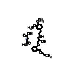 C=CCOCc1ccccc1OCC(O)CNCCc1ccc(OC)c(OC)c1.O=C(O)/C=C/C(=O)O